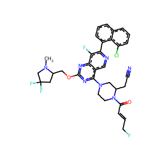 CN1CC(F)(F)CC1COc1nc(N2CCN(C(=O)/C=C/CF)C(CC#N)C2)c2cnc(-c3cccc4cccc(Cl)c34)c(F)c2n1